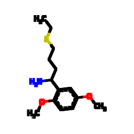 CCSCCCC(N)c1cc(OC)ccc1OC